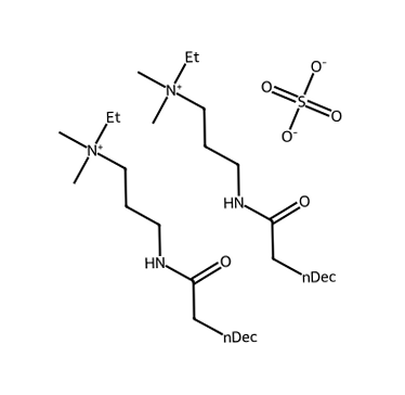 CCCCCCCCCCCC(=O)NCCC[N+](C)(C)CC.CCCCCCCCCCCC(=O)NCCC[N+](C)(C)CC.O=S(=O)([O-])[O-]